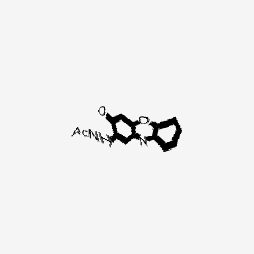 CC(=O)Nc1cc2nc3ccccc3oc-2cc1=O